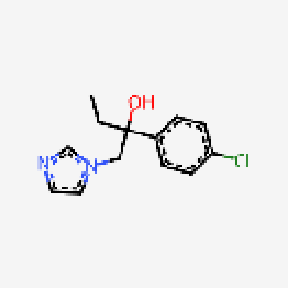 CCC(O)(Cn1ccnc1)c1ccc(Cl)cc1